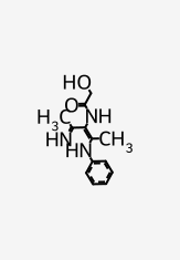 CC(=N)/C(NC(=O)CO)=C(/C)Nc1ccccc1